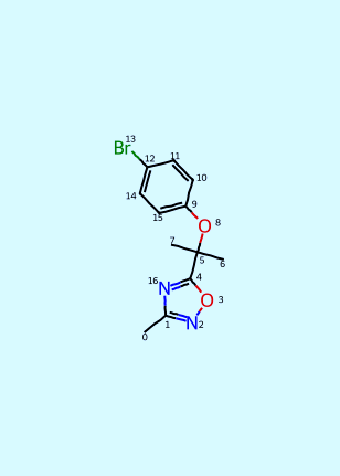 Cc1noc(C(C)(C)Oc2ccc(Br)cc2)n1